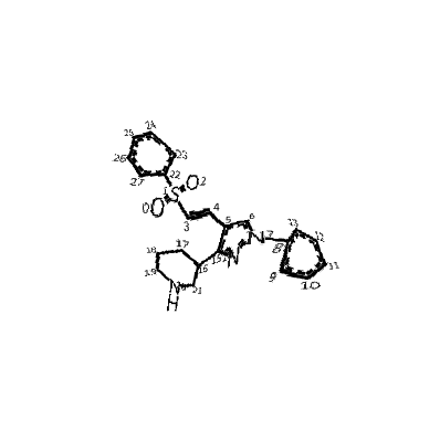 O=S(=O)(/C=C/c1cn(-c2ccccc2)nc1C1CCCNC1)c1ccccc1